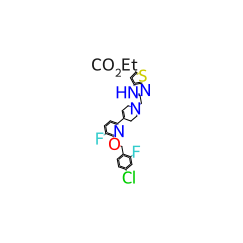 CCOC(=O)c1cc2[nH]c(CN3CC=C(c4ccc(F)c(OCc5ccc(Cl)cc5F)n4)CC3)nc2s1